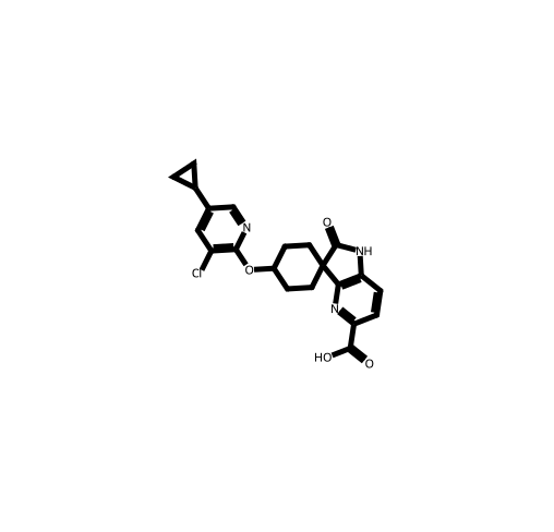 O=C(O)c1ccc2c(n1)C1(CCC(Oc3ncc(C4CC4)cc3Cl)CC1)C(=O)N2